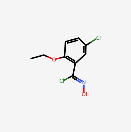 CCOc1ccc(Cl)cc1/C(Cl)=N/O